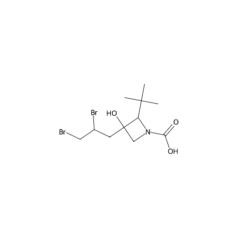 CC(C)(C)C1N(C(=O)O)CC1(O)CC(Br)CBr